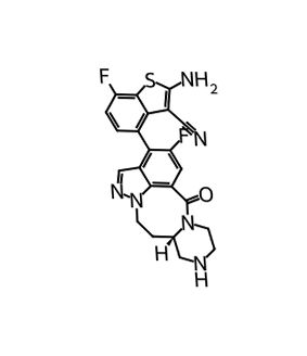 N#Cc1c(N)sc2c(F)ccc(-c3c(F)cc4c5c3cnn5CC[C@H]3CNCCN3C4=O)c12